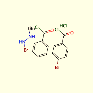 CC(C)(C)NNBr.Cl.O=C(Cl)c1ccc(Br)cc1.O=C(Cl)c1ccccc1